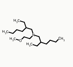 CCCCC(CC)CN(CCOC)CC(CC)CCCC